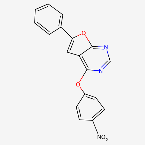 O=[N+]([O-])c1ccc(Oc2ncnc3oc(-c4ccccc4)cc23)cc1